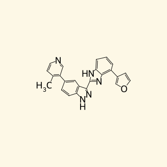 Cc1ccncc1-c1ccc2[nH]nc(-c3nc4c(-c5ccoc5)cccc4[nH]3)c2c1